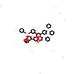 CC(C)(C)c1ccc2c(c1)c1cc(C(C)(C)C)ccc1n2-c1c(-c2cccc(-c3ccc4c5c3N(c3ccccc3)c3ccccc3B5c3ccccc3N4c3ccccc3)c2)cccc1-c1nc(-c2ccccc2)nc(-c2ccccc2)n1